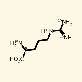 [15NH]=C([15NH2])[15NH]CCC[C@H]([15NH2])C(=O)O